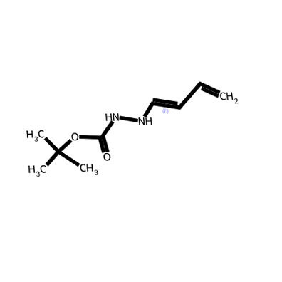 C=C/C=C/NNC(=O)OC(C)(C)C